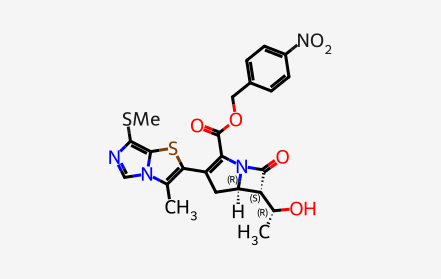 CSc1ncn2c(C)c(C3=C(C(=O)OCc4ccc([N+](=O)[O-])cc4)N4C(=O)[C@H]([C@@H](C)O)[C@H]4C3)sc12